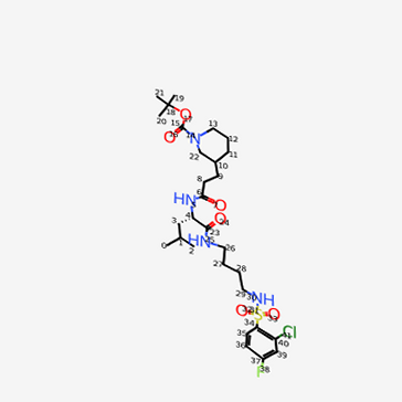 CC(C)C[C@H](NC(=O)CCC1CCCN(C(=O)OC(C)(C)C)C1)C(=O)NCCCCNS(=O)(=O)c1ccc(F)cc1Cl